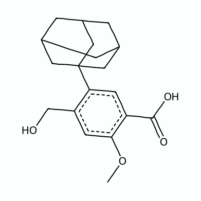 COc1cc(CO)c(C23CC4CC(CC(C4)C2)C3)cc1C(=O)O